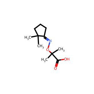 CC(C)(O/N=C1/CCCC1(C)C)C(=O)O